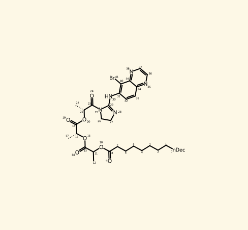 CCCCCCCCCCCCCCCCCC(=O)OC(C)C(=O)O[C@H](C)C(=O)O[C@H](C)C(=O)N1CCN=C1Nc1ccc2nccnc2c1Br